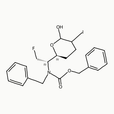 O=C(OCc1ccccc1)N(Cc1ccccc1)[C@H](CF)[C@@H]1CCC(I)C(O)O1